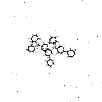 c1ccc(-c2ccc(N(c3cccc(-c4ccccc4)c3)c3ccccc3-c3cccc(-n4c5ccccc5c5ccccc54)c3)cc2)cc1